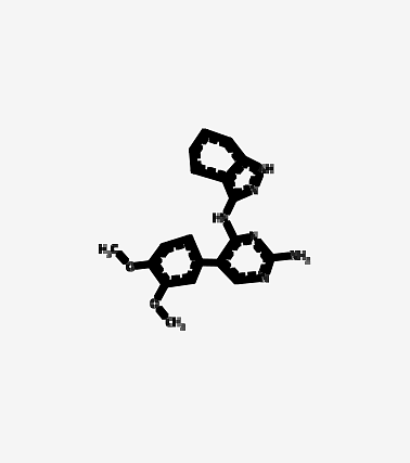 COc1ccc(-c2cnc(N)nc2Nc2n[nH]c3ccccc23)cc1OC